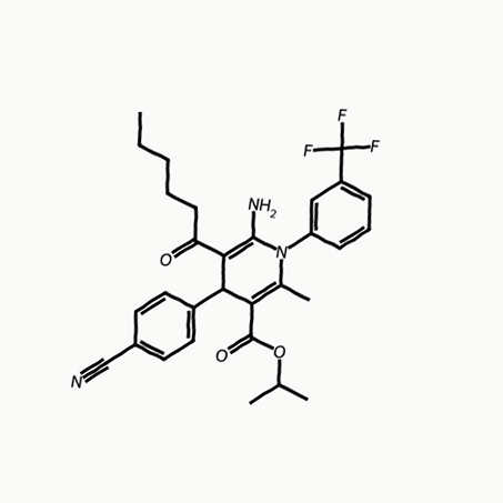 CCCCCC(=O)C1=C(N)N(c2cccc(C(F)(F)F)c2)C(C)=C(C(=O)OC(C)C)C1c1ccc(C#N)cc1